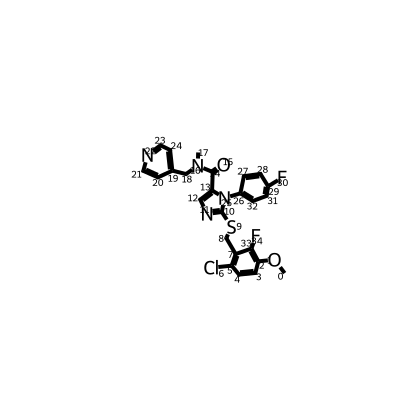 COc1ccc(Cl)c(CSc2ncc(C(=O)N(C)Cc3ccncc3)n2-c2ccc(F)cc2)c1F